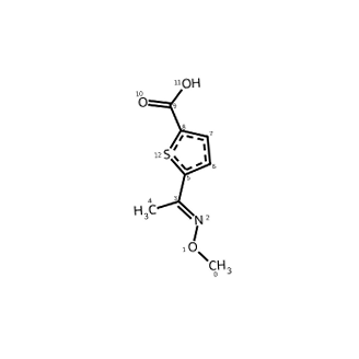 CON=C(C)c1ccc(C(=O)O)s1